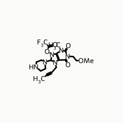 CC#CCN1c2c(n(C)c(=O)n(CCOC)c2=O)N(OC(=O)C(F)(F)F)C1N1CCNCC1